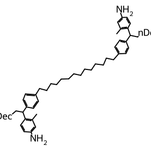 CCCCCCCCCCCC(c1ccc(CCCCCCCCCCCCCCc2ccc(C(CCCCCCCCCCC)c3ccc(N)cc3C)cc2)cc1)c1ccc(N)cc1C